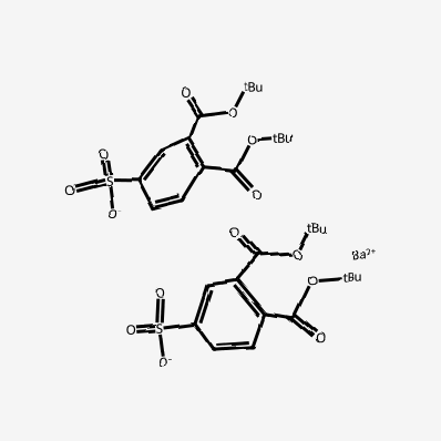 CC(C)(C)OC(=O)c1ccc(S(=O)(=O)[O-])cc1C(=O)OC(C)(C)C.CC(C)(C)OC(=O)c1ccc(S(=O)(=O)[O-])cc1C(=O)OC(C)(C)C.[Ba+2]